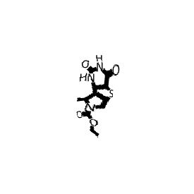 CCOC(=O)N1Cc2sc3c(=O)[nH]c(=O)[nH]c3c2C1C